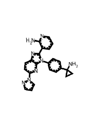 Nc1ncccc1-c1nc2ccc(-n3cccn3)nc2n1-c1ccc(C2(N)CC2)cc1